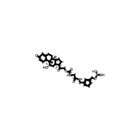 C[C@]12C[C@H](O)C3(F)[C@@H](CCC4=CC(=O)C=C[C@@]43C)C1CCC2C(=O)COC(=O)NCC(=O)NCc1cccc(CON(O)O)c1